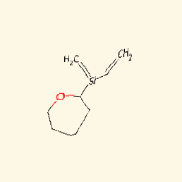 C=C[Si](=C)C1CCCCO1